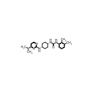 Cc1cccc(NC(=O)N[C@H]2CC[C@@H](Nc3nccc(N(C)C)n3)CC2)c1C